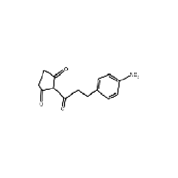 O=C1CCC(=O)C1C(=O)CCc1ccc([N+](=O)[O-])cc1